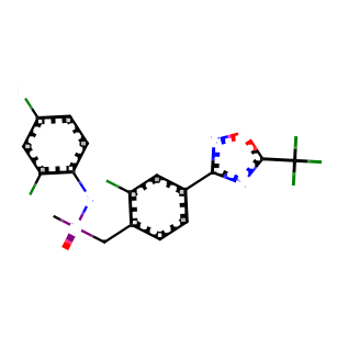 CP(=O)(Cc1ccc(-c2noc(C(F)(F)Cl)n2)cc1F)Nc1ccc(F)cc1F